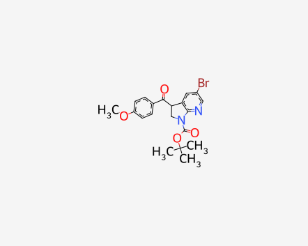 COc1ccc(C(=O)C2CN(C(=O)OC(C)(C)C)c3ncc(Br)cc32)cc1